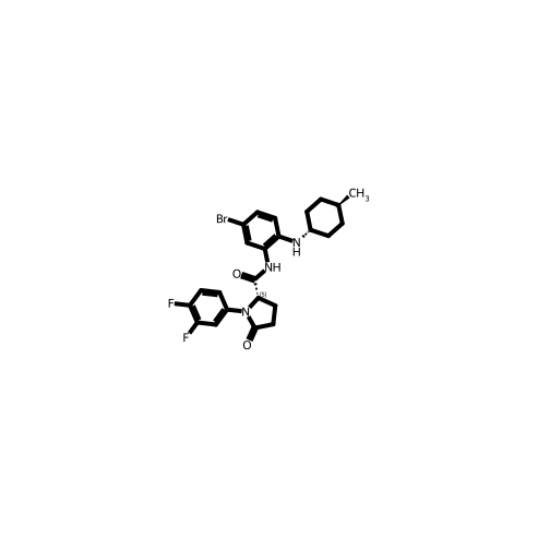 C[C@H]1CC[C@H](Nc2ccc(Br)cc2NC(=O)[C@@H]2CCC(=O)N2c2ccc(F)c(F)c2)CC1